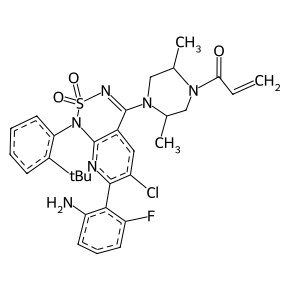 C=CC(=O)N1CC(C)N(C2=NS(=O)(=O)N(c3ccccc3C(C)(C)C)c3nc(-c4c(N)cccc4F)c(Cl)cc32)CC1C